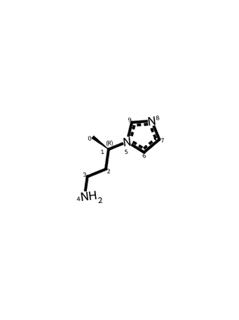 C[C@H](CCN)n1ccnc1